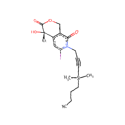 CC[C@@]1(O)C(=O)OCc2c1cc(I)n(CC#C[Si](C)(C)CCCC#N)c2=O